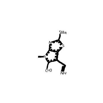 CSc1nc2c(s1)c(C=N)c(C=O)n2C